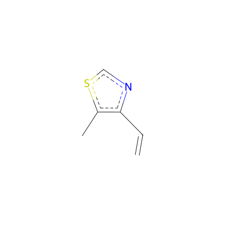 C=Cc1ncsc1C